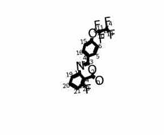 O=c1oc(-c2ccc(OC(F)(F)C(F)F)cc2)nc2cccc(F)c12